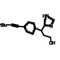 CC(C)(C)C#Cc1ccc(C(CCO)c2c[nH]cn2)cc1